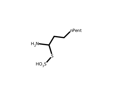 CCCCCCCC(N)SS(=O)(=O)O